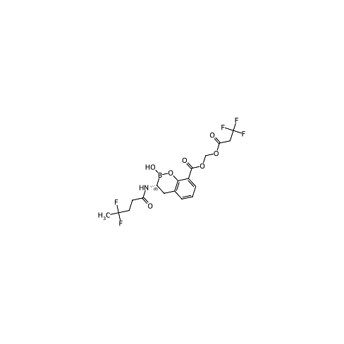 CC(F)(F)CCC(=O)N[C@H]1Cc2cccc(C(=O)OCOC(=O)CC(F)(F)F)c2OB1O